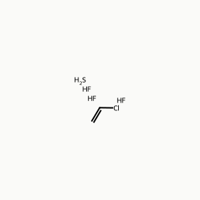 C=CCl.F.F.F.S